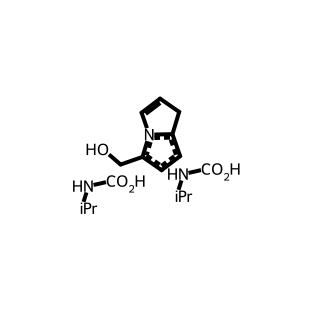 CC(C)NC(=O)O.CC(C)NC(=O)O.OCc1ccc2n1C=CC2